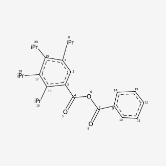 CC(C)c1cc(C(=O)OC(=O)c2ccccc2)c(C(C)C)c(C(C)C)c1C(C)C